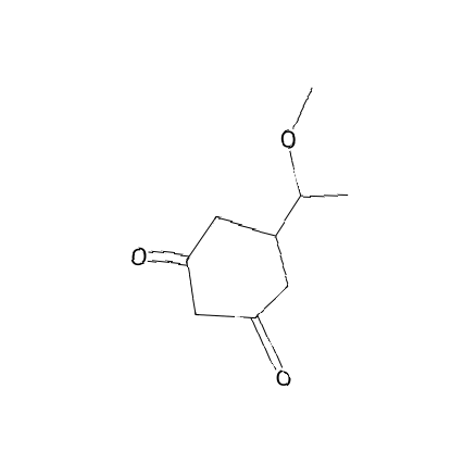 COC(C)C1CC(=O)CC(=O)C1